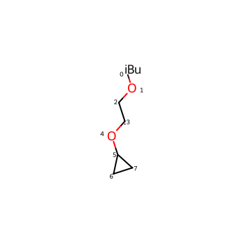 CCC(C)OC[CH]OC1CC1